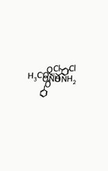 CCOC(=O)[C@H](CC(=O)c1c(N)cc(Cl)cc1Cl)NC(=O)OCc1ccccc1